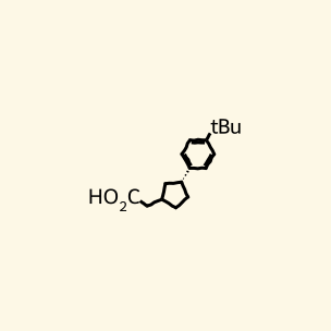 CC(C)(C)c1ccc([C@@H]2CCC(CC(=O)O)C2)cc1